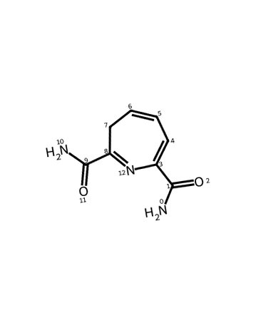 NC(=O)C1=CC=CCC(C(N)=O)=N1